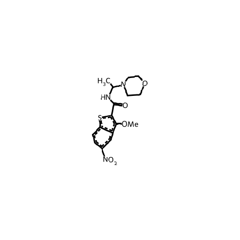 COc1c(C(=O)NC(C)N2CCOCC2)sc2ccc([N+](=O)[O-])cc12